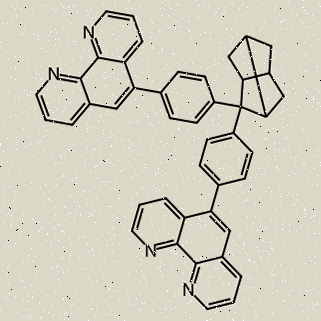 c1cnc2c(c1)cc(-c1ccc(C3(c4ccc(-c5cc6cccnc6c6ncccc56)cc4)C4CC5CC4CC53)cc1)c1cccnc12